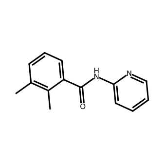 Cc1cccc(C(=O)Nc2ccccn2)c1C